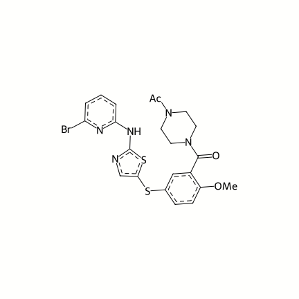 COc1ccc(Sc2cnc(Nc3cccc(Br)n3)s2)cc1C(=O)N1CCN(C(C)=O)CC1